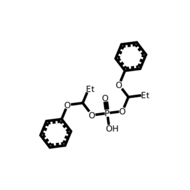 CCC(Oc1ccccc1)OP(=O)(O)OC(CC)Oc1ccccc1